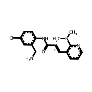 CN(C)c1ncccc1/C=C/C(=O)Nc1ccc(Cl)cc1CN